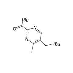 Cc1nc(C(=O)C(C)(C)C)ncc1CC(C)(C)C